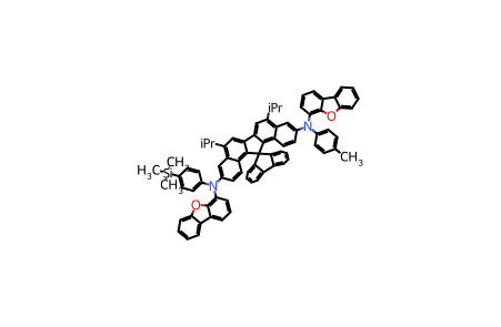 Cc1ccc(N(c2ccc3c4c(cc(C(C)C)c3c2)-c2cc(C(C)C)c3cc(N(c5ccc([Si](C)(C)C)cc5)c5cccc6c5oc5ccccc56)ccc3c2C42c3ccccc3-c3ccccc32)c2cccc3c2oc2ccccc23)cc1